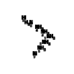 I.N.N.N.N.N.N.[Ni]